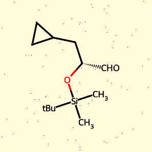 CC(C)(C)[Si](C)(C)O[C@@H](C=O)CC1CC1